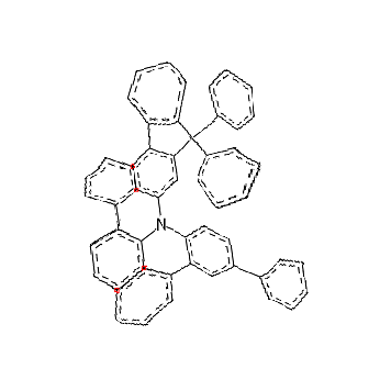 c1ccc(-c2ccc(N(c3ccc4c(c3)C(c3ccccc3)(c3ccccc3)c3ccccc3-4)c3ccccc3-c3ccccc3)c(-c3ccccc3)c2)cc1